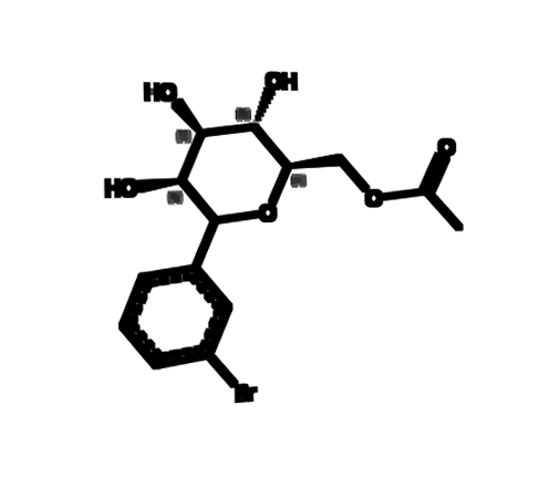 CC(=O)OC[C@H]1OC(c2cccc(Br)c2)[C@@H](O)[C@@H](O)[C@@H]1O